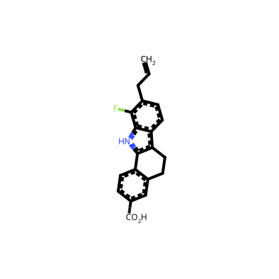 C=CCc1ccc2c3c([nH]c2c1F)-c1ccc(C(=O)O)cc1CC3